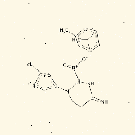 Cc1cc2cc(c1)C2C.N=C1CCN(c2cnc(Cl)s2)N([N+](=O)[O-])N1